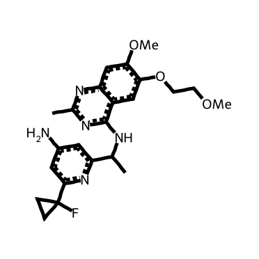 COCCOc1cc2c(NC(C)c3cc(N)cc(C4(F)CC4)n3)nc(C)nc2cc1OC